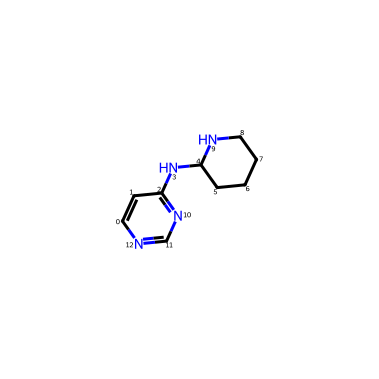 c1cc(NC2CCCCN2)ncn1